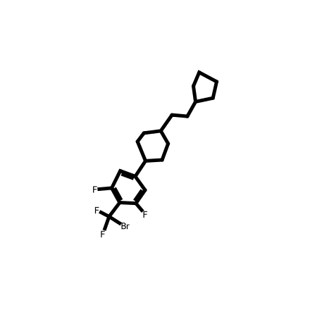 Fc1cc(C2CCC(CCC3CCCC3)CC2)cc(F)c1C(F)(F)Br